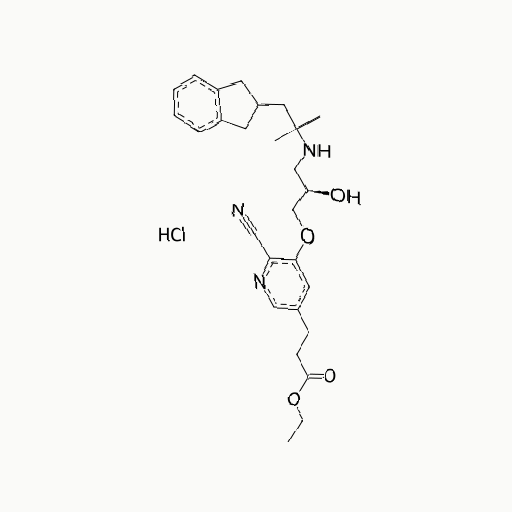 CCOC(=O)CCc1cnc(C#N)c(OC[C@H](O)CNC(C)(C)CC2Cc3ccccc3C2)c1.Cl